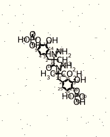 CC(Cc1ccc(OP(=O)(O)O)c(O)c1)(NN)C(=O)N(N)C(C)(Cc1ccc(OP(=O)(O)O)c(O)c1)C(=O)O